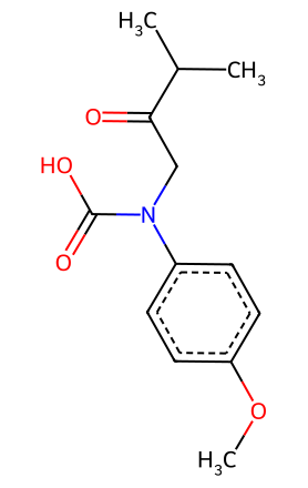 COc1ccc(N(CC(=O)C(C)C)C(=O)O)cc1